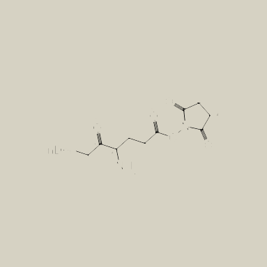 CCCCCCCCCCCC(=O)C(N)CCC(=O)ON1C(=O)CCC1=O